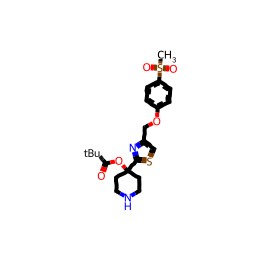 CC(C)(C)C(=O)OC1(c2nc(COc3ccc(S(C)(=O)=O)cc3)cs2)CCNCC1